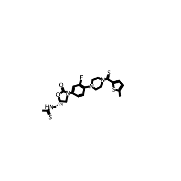 CC(=S)NC[C@H]1CN(c2ccc(N3CCN(C(=S)c4ccc(C)s4)CC3)c(F)c2)C(=O)O1